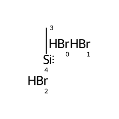 Br.Br.Br.C[Si]